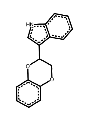 [c]1cccc2c1OCC(c1c[nH]c3ccccc13)O2